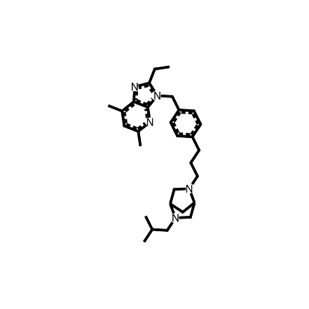 CCc1nc2c(C)cc(C)nc2n1Cc1ccc(CCCN2CC3CC2CN3CC(C)C)cc1